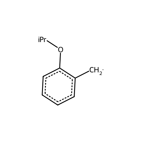 [CH2]c1ccccc1OC(C)C